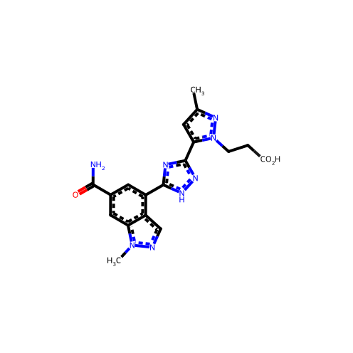 Cc1cc(-c2n[nH]c(-c3cc(C(N)=O)cc4c3cnn4C)n2)n(CCC(=O)O)n1